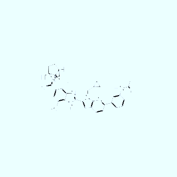 COc1cc(C(=O)N2C[C@H]3CC[C@@H]2[C@@H]3N)cc2nc(-c3cc4ccc(-c5cccc(NC(C)=O)c5)nc4n3CC3CC3)n(C)c12